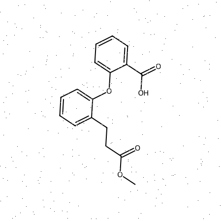 COC(=O)CCc1ccccc1Oc1ccccc1C(=O)O